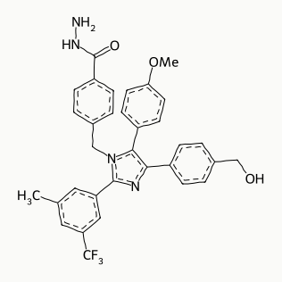 COc1ccc(-c2c(-c3ccc(CO)cc3)nc(-c3cc(C)cc(C(F)(F)F)c3)n2Cc2ccc(C(=O)NN)cc2)cc1